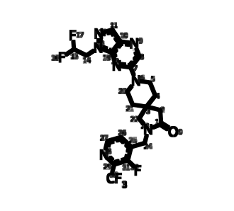 O=C1CC2(CCN(c3cnc4cnn(CC(F)F)c4n3)CC2)CN1Cc1ccnc(C(F)(F)F)c1F